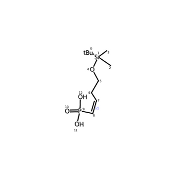 CC(C)(C)[Si](C)(C)OCC/C=C\P(=O)(O)O